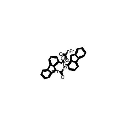 [CH2]=[Ti]([O]C(=O)CCC)([O]C(=O)CCC)([c]1cccc2c1Cc1ccccc1-2)[c]1cccc2c1Cc1ccccc1-2